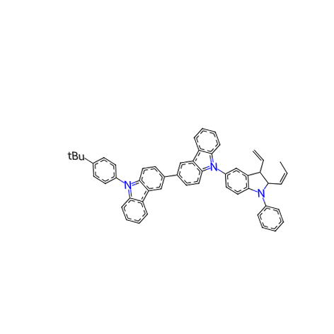 C=CC1c2cc(-n3c4ccccc4c4cc(-c5ccc6c(c5)c5ccccc5n6-c5ccc(C(C)(C)C)cc5)ccc43)ccc2N(c2ccccc2)C1/C=C\C